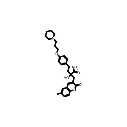 Cc1ccc2oc(=O)c(CC(O)(CCc3ccc(OCCCN4CCCCC4)cc3)C(N)=O)cc2c1